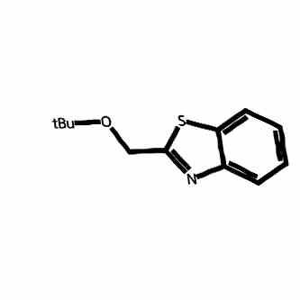 CC(C)(C)OCc1nc2ccccc2s1